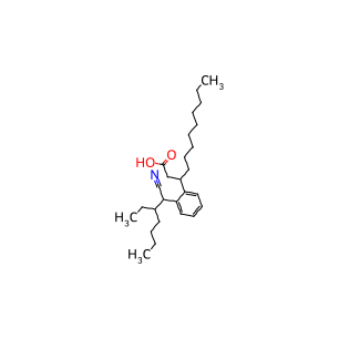 CCCCCCCCCC(CC(=O)O)c1ccccc1C(C#N)C(CC)CCCC